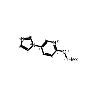 CCCCCCOc1ccc(-n2ccnc2)cn1